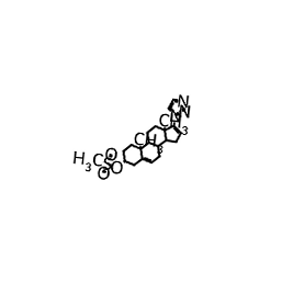 C[C@]12CC[C@H](OS(C)(=O)=O)CC1=CCC1C2CC[C@]2(C)C(n3ccnn3)=CCC12